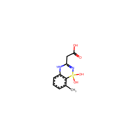 Cc1cccc2c1S(O)(O)N=C(CC(=O)O)N2